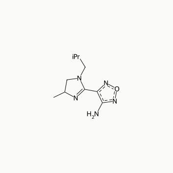 CC(C)CN1CC(C)N=C1c1nonc1N